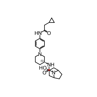 O=C(CC1CC1)Nc1ccc(N2CCC[C@H](NC(=O)N3C4CCC3CC(O)C4)C2)cc1